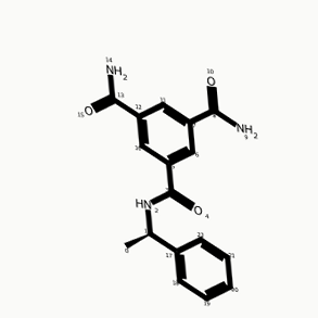 C[C@@H](NC(=O)c1cc(C(N)=O)cc(C(N)=O)c1)c1ccccc1